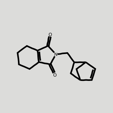 O=C1C2=C(CCCC2)C(=O)N1CC1CC2C=CC1C2